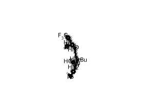 Cc1ncsc1-c1ccc([C@H](C)NC(=O)[C@@H]2C[C@@H](O)CN2C(=O)[C@@H](NCCCCCNC(=O)c2ccc(NCc3ccc(C(F)(F)F)cc3)c(-c3cn(C)cn3)c2)C(C)(C)C)cc1